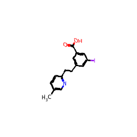 Cc1ccc(CCc2cc(I)cc(C(=O)O)c2)nc1